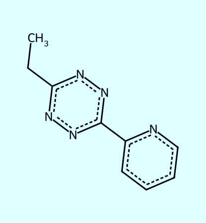 CCc1nnc(-c2ccccn2)nn1